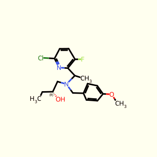 CC[C@@H](O)CN(Cc1ccc(OC)cc1)C(C)c1nc(Cl)ccc1F